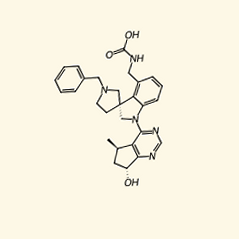 C[C@@H]1C[C@@H](O)c2ncnc(N3C[C@@]4(CCN(Cc5ccccc5)C4)c4c(CNC(=O)O)cccc43)c21